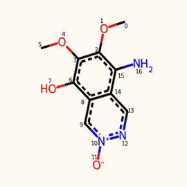 COc1c(OC)c(O)c2c[n+]([O-])ncc2c1N